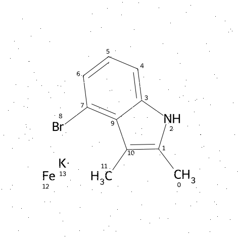 Cc1[nH]c2cccc(Br)c2c1C.[Fe].[K]